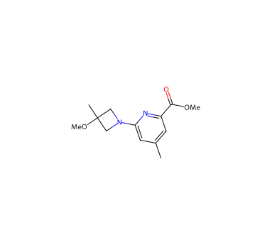 COC(=O)c1cc(C)cc(N2CC(C)(OC)C2)n1